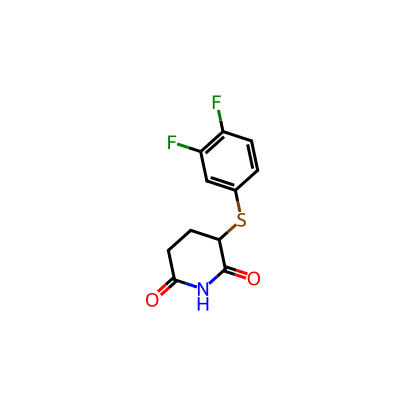 O=C1CCC(Sc2ccc(F)c(F)c2)C(=O)N1